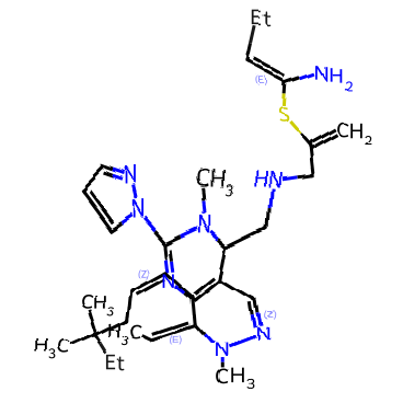 C=C(CNCC1C(/C=N\N(C)/C(=C/C)C/C=C\CC(C)(C)CC)=CN=C(n2cccn2)N1C)S/C(N)=C/CC